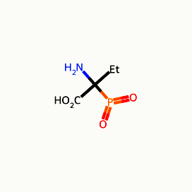 CCC(N)(C(=O)O)P(=O)=O